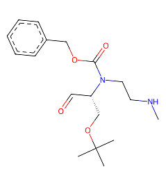 CNCCN(C(=O)OCc1ccccc1)[C@@H](C=O)COC(C)(C)C